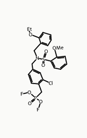 CCOc1ccccc1CN(Cc1ccc(CP(=O)(OF)OF)c(Cl)c1)S(=O)(=O)c1ccccc1OC